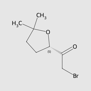 CC1(C)CC[C@@H](C(=O)CBr)O1